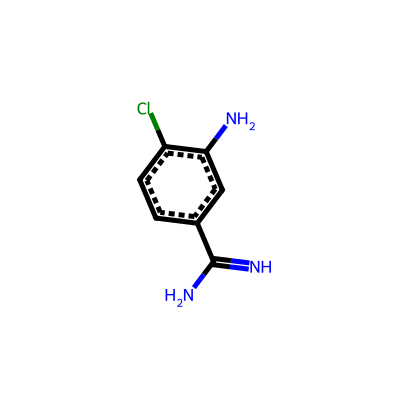 N=C(N)c1ccc(Cl)c(N)c1